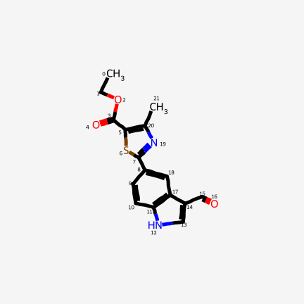 CCOC(=O)c1sc(-c2ccc3[nH]cc(C=O)c3c2)nc1C